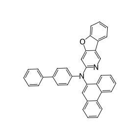 c1ccc(-c2ccc(N(c3cc4oc5ccccc5c4cn3)c3cc4ccccc4c4ccccc34)cc2)cc1